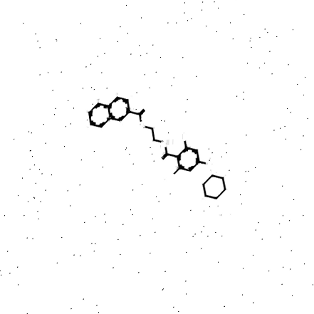 O=C(NCCNC(=O)c1c(F)cc(O[C@H]2CC[C@@H](C(=O)O)CC2)cc1F)c1ccc2ccccc2c1